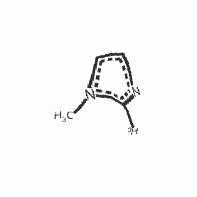 [3H]c1nccn1C